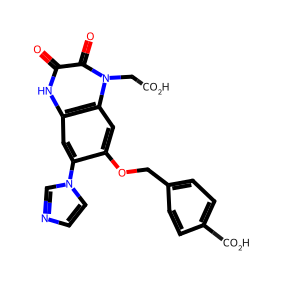 O=C(O)Cn1c(=O)c(=O)[nH]c2cc(-n3ccnc3)c(OCc3ccc(C(=O)O)cc3)cc21